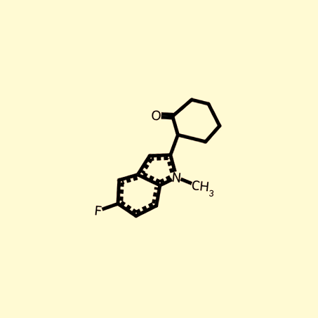 Cn1c(C2CCCCC2=O)cc2cc(F)ccc21